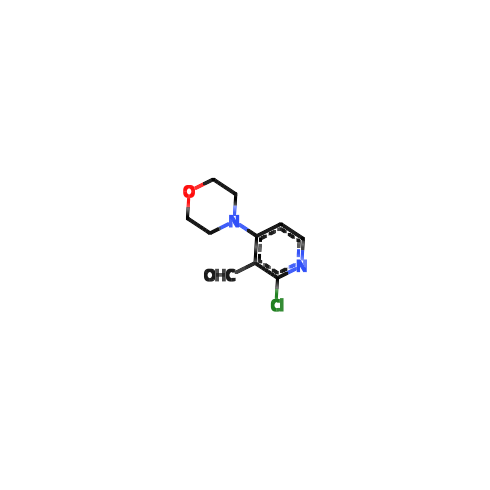 O=Cc1c(N2CCOCC2)ccnc1Cl